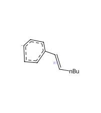 CCCC/C=C/c1cc[c]cc1